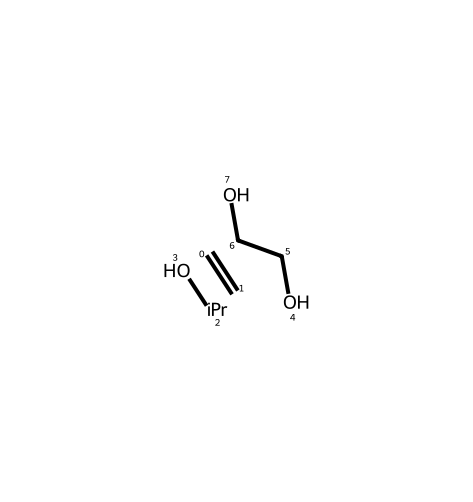 C=C.CC(C)O.OCCO